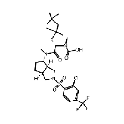 CN(C(=O)O)[C@@H](CC(C)(C)CC(C)(C)C)C(=O)N(C)[C@H]1CC[C@@H]2CN(S(=O)(=O)c3ccc(C(F)(F)F)cc3Cl)C[C@@H]21